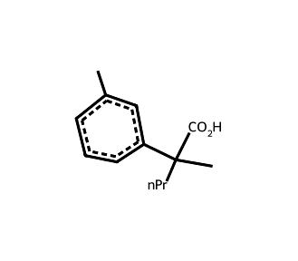 CCCC(C)(C(=O)O)c1cccc(C)c1